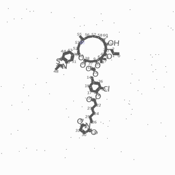 C=CC[C@H]1C(=O)C(C)(C)[C@@H](OC(=O)OCc2ccc(OC(=O)CCCCCN3C(=O)C=CC3=O)c(Cl)c2)CC(=O)O[C@H](c2ccc3sc(C)nc3c2)C/C=C(/C)CCC[C@H](C)[C@@H]1O